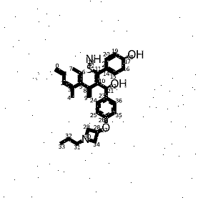 C=C/C=C(C)\C(=C/C)C(=C)/C(=C(\SN)C1=CC[C@H](O)C=C1)[C@@H](O)c1ccc(OC2CN(CCC)C2)cc1